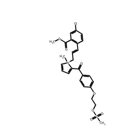 COC(=O)c1cc(Cl)ccc1/C=C/C[N+]1(C)C=CC=C1C(=O)c1ccc(OCCOS(C)(=O)=O)cc1